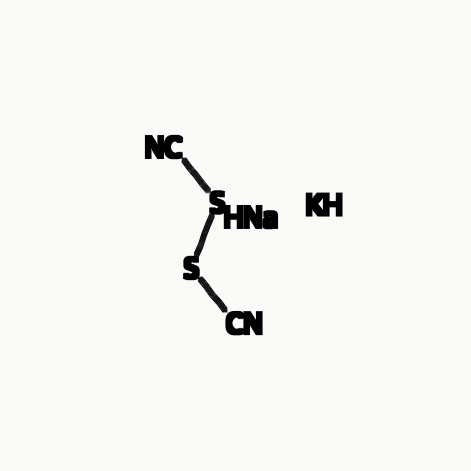 N#CSSC#N.[KH].[NaH]